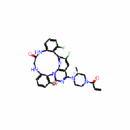 C=CC(=O)N1CCN(c2nc(=O)n3c4nc(c(F)cc24)-c2c(F)cccc2NC(=O)CNc2cccc(C(C)C)c2-3)[C@@H](C)C1